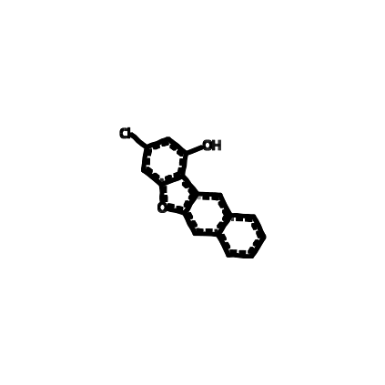 Oc1cc(Cl)cc2oc3cc4ccccc4cc3c12